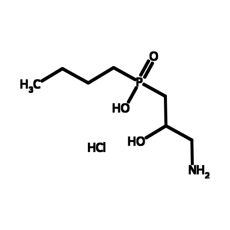 CCCCP(=O)(O)CC(O)CN.Cl